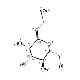 CCCCCCCCCO[C@H]1O[C@H](CO)[C@@H](O)[C@H](O)[C@@H]1O